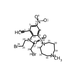 C#Cc1cc([N+](=O)[O-])cc(S(=O)(=O)N2CCCN(C)CCC2)c1N(CCBr)CCBr